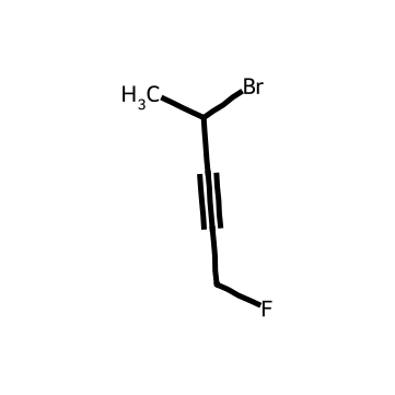 CC(Br)C#CCF